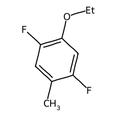 CCOc1cc(F)c(C)cc1F